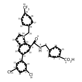 O=C(O)c1ccc(CNC(=O)c2cc(-c3cc(Cl)cc(Cl)c3)cc3ccn(Cc4ccc(C(F)(F)F)cc4)c23)cc1